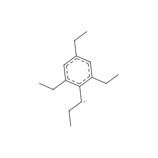 CC[CH]c1c(CC)cc(CC)cc1CC